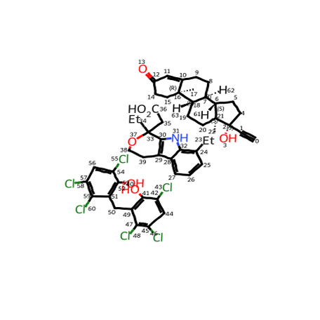 C#C[C@]1(O)CC[C@H]2[C@@H]3CCC4=CC(=O)CC[C@]4(C)[C@H]3CC[C@@]21C.CCc1cccc2c3c([nH]c12)C(CC)(CC(=O)O)OCC3.Oc1c(Cl)cc(Cl)c(Cl)c1Cc1c(O)c(Cl)cc(Cl)c1Cl